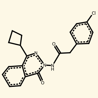 O=C(Cc1ccc(Cl)cc1)Nn1nc(C2CCC2)c2ccccc2c1=O